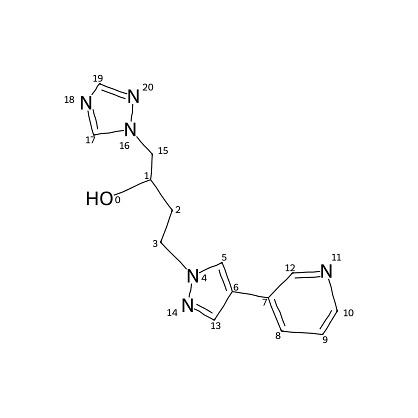 OC(CCn1cc(-c2cccnc2)cn1)Cn1cncn1